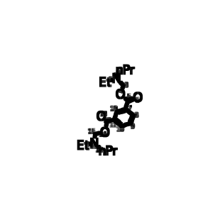 CCCN(CC)COC(=O)c1cccc(C(=O)OCN(CC)CCC)c1